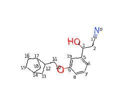 N#CCC(O)c1cccc(OCC2CC3CCC2C3)c1